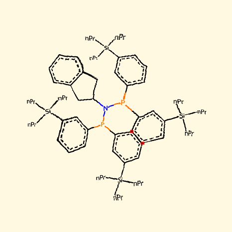 CCC[Si](CCC)(CCC)c1cccc(P(c2cccc([Si](CCC)(CCC)CCC)c2)N(C2Cc3ccccc3C2)P(c2cccc([Si](CCC)(CCC)CCC)c2)c2cccc([Si](CCC)(CCC)CCC)c2)c1